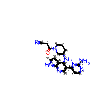 N#CCC(=O)N1CCCC(Nc2c(-c3ccnc(N)n3)cnc3[nH]ccc23)C1